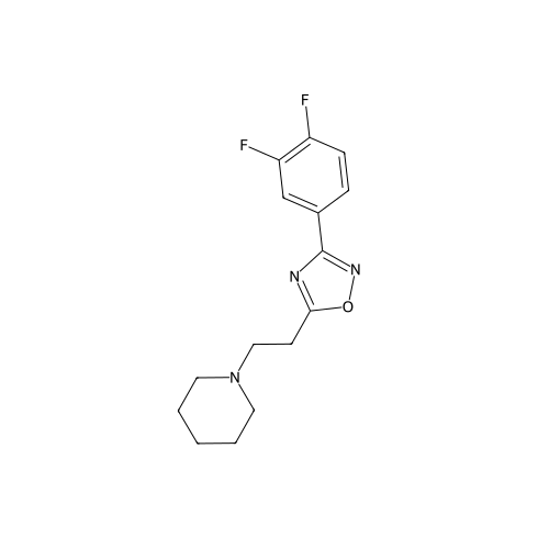 Fc1ccc(-c2noc(CCN3CCCCC3)n2)cc1F